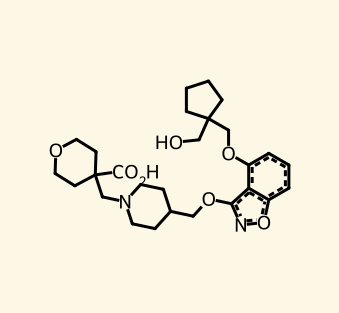 O=C(O)C1(CN2CCC(COc3noc4cccc(OCC5(CO)CCCC5)c34)CC2)CCOCC1